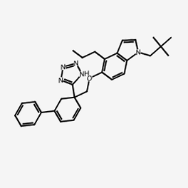 CCCc1c(OCC2(c3nnn[nH]3)C=CC=C(c3ccccc3)C2)ccc2c1ccn2CC(C)(C)C